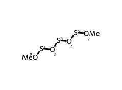 COSOSOSOC